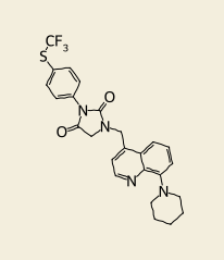 O=C1CN(Cc2ccnc3c(N4CCCCC4)cccc23)C(=O)N1c1ccc(SC(F)(F)F)cc1